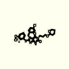 Cn1c(=O)n(CCCOC2CCCCO2)c(=O)c2c1nc(Sc1cccc(OC(F)(F)F)c1)n2Cc1ccc(Cl)cc1